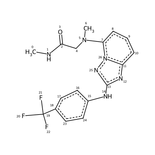 CNC(=O)CN(C)c1cccc2nc(Nc3ccc(C(F)(F)F)cc3)nn12